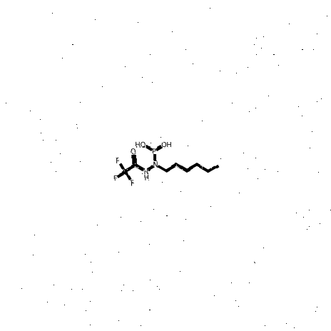 CCCCCCN(NC(=O)C(F)(F)F)P(O)O